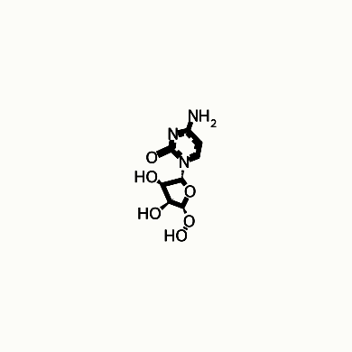 Nc1ccn([C@@H]2O[C@H](OO)[C@@H](O)[C@H]2O)c(=O)n1